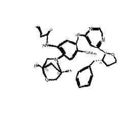 C=CC(=O)Nc1cc(Nc2cc(N3OCC[C@@H]3Cc3ccccc3)ncn2)c(OC)cc1N1C[C@@H]2C[C@H]1CO2